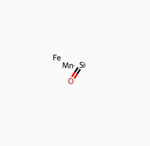 O=[Si].[Fe].[Mn]